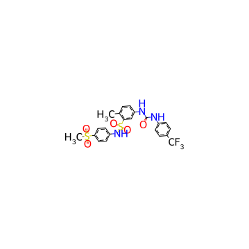 Cc1ccc(NC(=O)Nc2ccc(C(F)(F)F)cc2)cc1S(=O)(=O)Nc1ccc(S(C)(=O)=O)cc1